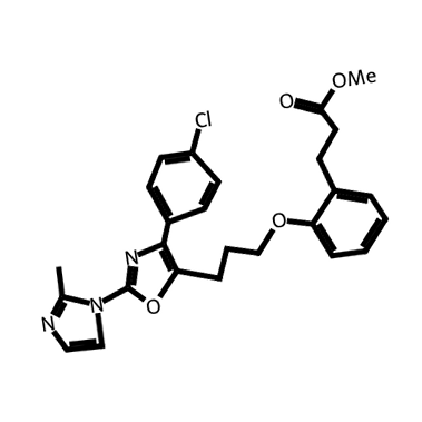 COC(=O)CCc1ccccc1OCCCc1oc(-n2ccnc2C)nc1-c1ccc(Cl)cc1